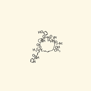 CC(=O)CC[C@H]1C(=O)N[C@@H](C(C)C)C(=O)NC(c2cccc(O)c2)C(=O)N2CCCC(N2)C(=O)O[C@H](/C(C)=C/C=C/C(=O)Nc2ccccn2)C/C=C/C=C/C[C@H](C)[C@H]1O